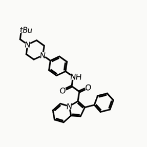 CC(C)(C)CN1CCN(c2ccc(NC(=O)C(=O)c3c(-c4ccccc4)cc4ccccn34)cc2)CC1